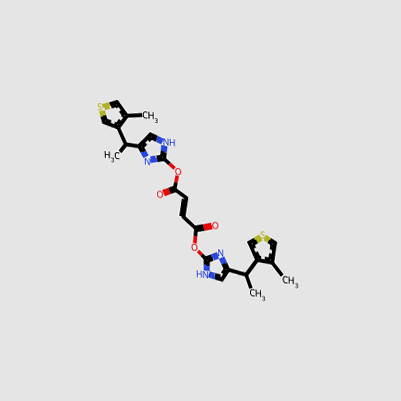 Cc1cscc1C(C)c1c[nH]c(OC(=O)/C=C/C(=O)Oc2nc(C(C)c3cscc3C)c[nH]2)n1